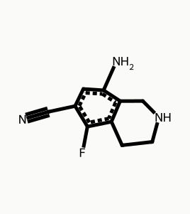 N#Cc1cc(N)c2c(c1F)CCNC2